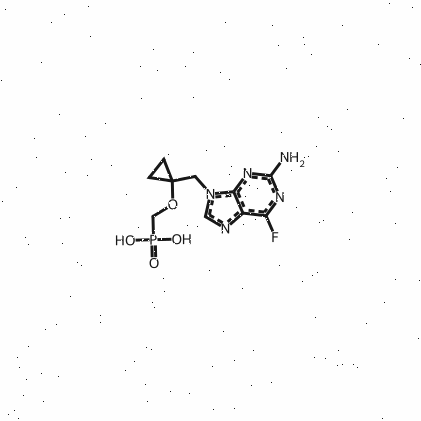 Nc1nc(F)c2ncn(CC3(OCP(=O)(O)O)CC3)c2n1